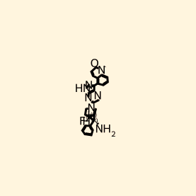 Cn1c(=O)ccc2c(-c3n[nH]c4nc(N5CC[C@@H]6[C@H](C5)[C@@]6(CN)c5ccccc5F)cnc34)cccc21